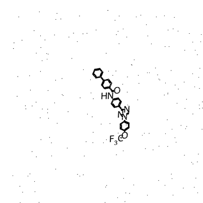 O=C(Nc1ccc(-c2ncn(-c3ccc(OC(F)(F)F)cc3)n2)cc1)c1ccc(-c2ccccc2)cc1